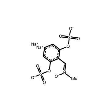 CC(C)(C)[N+]([O-])=Cc1c(OS(=O)(=O)[O-])cccc1OS(=O)(=O)[O-].[Na+].[Na+]